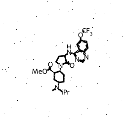 COC(=O)[C@@H]1C[C@H](N(C)C(C)C)CC[C@@H]1N1CCC(Nc2ncnc3ccc(OC(F)(F)F)cc23)C1=O